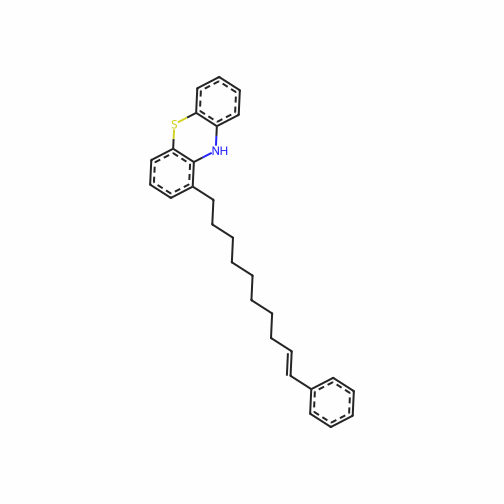 C(=Cc1ccccc1)CCCCCCCCc1cccc2c1Nc1ccccc1S2